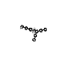 c1ccc(-c2ccc(-c3cc(-c4ccc(-c5ccccc5)cc4)c4nc(-c5ccc(-c6ccc(-c7cccnc7)cc6)cc5)oc4c3)cc2)cc1